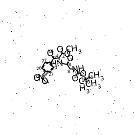 COC(=O)C(NC(=O)CNC(=O)OC(C)(C)C)C(=O)c1ccc([N+](=O)[O-])cc1